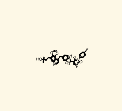 Cn1cc(C(=O)Nc2ccc(Cc3ccnc4cc(CCC(C)(C)O)c5c(c34)OCCO5)cc2Cl)c(=O)n(-c2ccc(F)cc2)c1=O